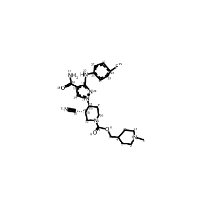 CN1CCC(COC(=O)N2CC[C@H](n3cc(C(N)=O)c(Nc4ccc(F)cc4)n3)[C@@H](C#N)C2)CC1